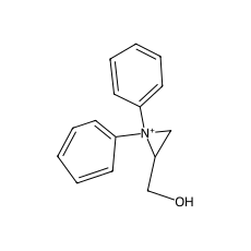 OCC1C[N+]1(c1ccccc1)c1ccccc1